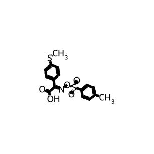 CSc1ccc(/C(=N\OS(=O)(=O)c2ccc(C)cc2)C(=O)O)cc1